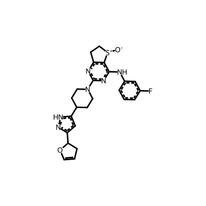 [O-][S+]1CCc2nc(N3CCC(c4cc(C5CC=CO5)n[nH]4)CC3)nc(Nc3cccc(F)c3)c21